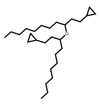 CCCCCCCCC(CCC1CC1)OC(CCCCCCCC)CCC1CC1